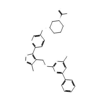 Cc1cc(-c2ccccc2)nc(NCc2c(C)noc2-c2ccc(O[C@H]3CCC[C@H](C(=O)O)C3)cn2)n1